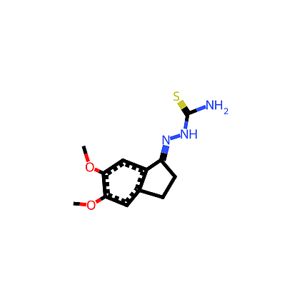 COc1cc2c(cc1OC)C(=NNC(N)=S)CC2